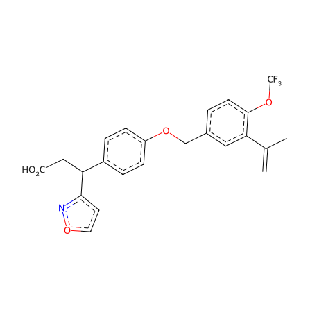 C=C(C)c1cc(COc2ccc(C(CC(=O)O)c3ccon3)cc2)ccc1OC(F)(F)F